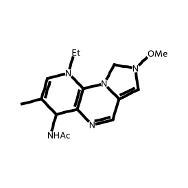 CCN1C=C(C)C(NC(C)=O)C2=C1N1CN(OC)C=C1C=N2